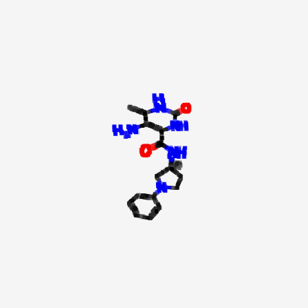 C=C1NC(=O)NC(C(=O)N[C@H]2CCN(c3ccccc3)C2)=C1N